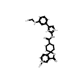 O=C1OC2(CCC(C(=O)Nc3nc(-c4cccc(OCF)c4)co3)CC2)c2cc[n+]([O-])cc21